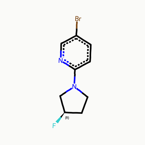 F[C@@H]1CCN(c2ccc(Br)cn2)C1